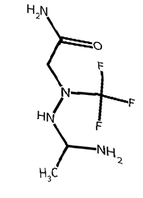 CC(N)NN(CC(N)=O)C(F)(F)F